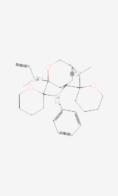 C=C[SiH](C)C1(C2([SiH](CC3([SiH](C)C)CCCCO3)c3ccccc3)CCCCO2)CCCCO1